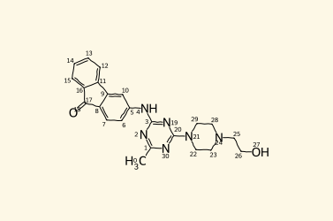 Cc1nc(Nc2ccc3c(c2)-c2ccccc2C3=O)nc(N2CCN(CCO)CC2)n1